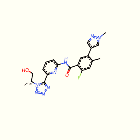 Cc1cc(F)c(C(=O)Nc2cccc(-c3nnnn3[C@H](C)CO)n2)cc1-c1cnn(C)c1